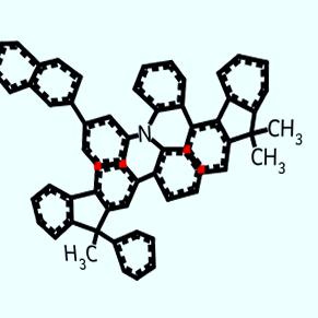 CC1(C)c2ccccc2-c2c(-c3ccccc3N(c3cccc(-c4ccc5ccccc5c4)c3)c3ccccc3-c3ccc4c(c3)C(C)(c3ccccc3)c3ccccc3-4)cccc21